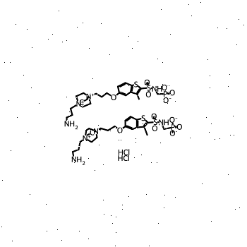 Cc1c(S(=O)(=O)NCP(=O)([O-])[O-])sc2ccc(OCCC[N+]34CC[N+](CCCN)(CC3)CC4)cc12.Cc1c(S(=O)(=O)NCP(=O)([O-])[O-])sc2ccc(OCCC[N+]34CC[N+](CCCN)(CC3)CC4)cc12.Cl.Cl